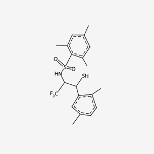 Cc1cc(C)c(S(=O)(=O)NC(C(S)c2cc(C)ccc2C)C(F)(F)F)c(C)c1